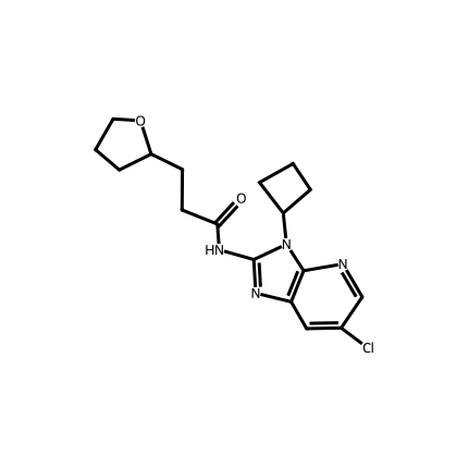 O=C(CCC1CCCO1)Nc1nc2cc(Cl)cnc2n1C1CCC1